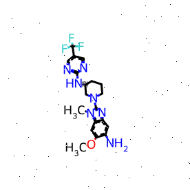 COc1cc2c(cc1N)nc(N1CCC[C@@H](Nc3ncc(C(F)(F)F)cn3)C1)n2C